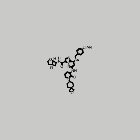 COc1ccc(CN(C)c2cc(Nc3cccn(C4CCC5(CC4)COC5)c3=O)nn3c(C(=O)N[C@@H]4C[C@H]5CCO[C@H]54)cnc23)cc1